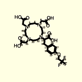 O=C(O)CN1CCN(CC(=O)O)CCN(C(Cc2ccc(OCC(F)(F)F)cc2)C(=O)O)CCN(CC(=O)O)CC1